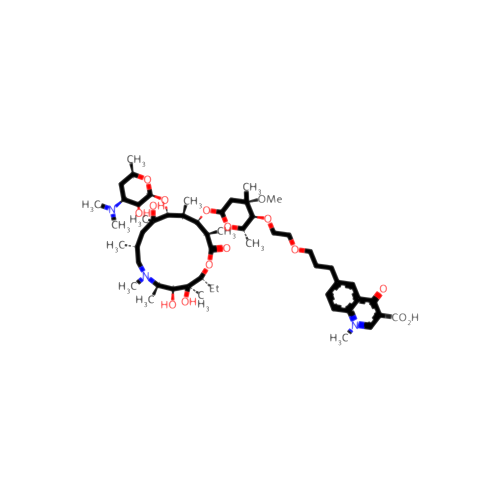 CC[C@H]1OC(=O)[C@H](C)[C@@H](OC2C[C@@](C)(OC)[C@@H](OCCOCCCc3ccc4c(c3)c(=O)c(C(=O)O)cn4C)[C@H](C)O2)[C@H](C)[C@@H](O[C@@H]2O[C@H](C)C[C@H](N(C)C)[C@H]2O)[C@](C)(O)C[C@@H](C)CN(C)[C@H](C)[C@H](O)[C@]1(C)O